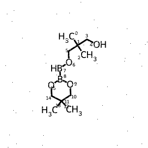 CC(C)(CO)COBB1OCC(C)(C)CO1